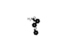 NC(=O)Cc1ccccc1-c1cccc(OCc2ccccc2)c1